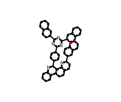 c1ccc2cc(-c3ccc4ccc5c6ccccc6nc(-c6ccc(-c7nc(-c8ccc9ccccc9c8)nc(-c8ccc9ccccc9c8)n7)cc6)c5c4n3)ccc2c1